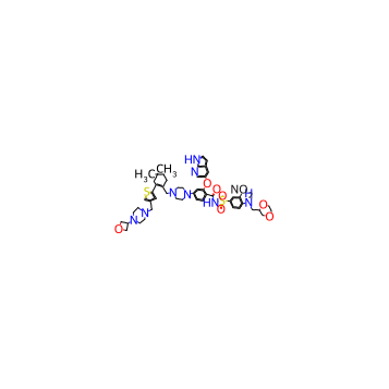 CC1(C)CCC(CN2CCN(c3ccc(C(=O)NS(=O)(=O)c4ccc(NCC5COCCO5)c([N+](=O)[O-])c4)c(Oc4cnc5[nH]ccc5c4)c3)CC2)=C(c2cc(CN3CCN(C4COC4)CC3)cs2)C1